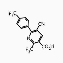 N#Cc1cc(C(=O)O)c(C(F)(F)F)nc1-c1ccc(C(F)(F)F)cc1